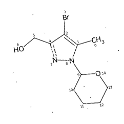 Cc1c(Br)c(CO)nn1C1CCCCO1